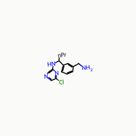 CCCC(Nc1cncc(Cl)n1)c1cccc(CN)c1